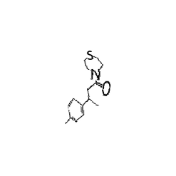 Cc1ccc(C(C)CC(=O)N2CCSCC2)cc1